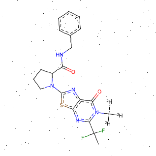 [2H]C([2H])([2H])n1c(C(C)(F)F)nc2sc(N3CCCC3C(=O)NCc3ccccc3)nc2c1=O